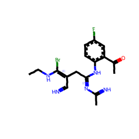 CCN/C(Br)=C(\C=N)C/C(=N/C(C)=N)Nc1ccc(F)cc1C(C)=O